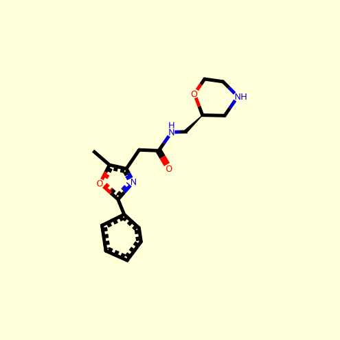 Cc1oc(-c2ccccc2)nc1CC(=O)NC[C@@H]1CNCCO1